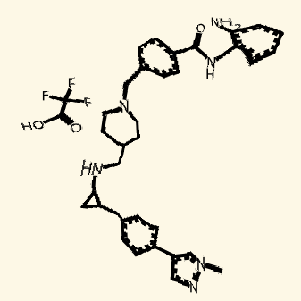 Cn1cc(-c2ccc(C3CC3NCC3CCN(Cc4ccc(C(=O)Nc5ccccc5N)cc4)CC3)cc2)cn1.O=C(O)C(F)(F)F